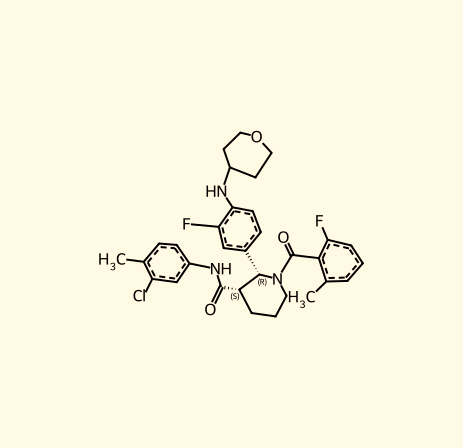 Cc1ccc(NC(=O)[C@H]2CCCN(C(=O)c3c(C)cccc3F)[C@H]2c2ccc(NC3CCOCC3)c(F)c2)cc1Cl